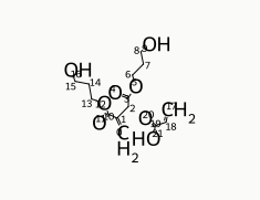 C=C(CC(=O)OCCCO)C(=O)OCCCO.C=CC(=O)O